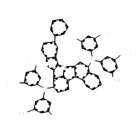 Cc1cc(C)cc(N(c2cc(C(C)(C)C)cc(C(C)(C)C)c2)c2cc3c(c4ccccc24)c2ccc(N(c4cc(C)cc(C)c4)c4cc(C(C)(C)C)cc(C(C)(C)C)c4)c4c5sc6ccc(-c7ccccc7)cc6c5n3c24)c1